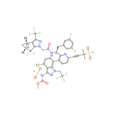 COC(=O)N(c1nn(CC(F)(F)F)c2c(-c3ccc(C#CC(C)(C)S(C)(=O)=O)nc3[C@H](Cc3cc(F)cc(F)c3)NC(=O)Cn3nc(C(F)(F)F)c4c3C(F)(F)[C@@H]3C[C@H]43)ccc(Cl)c12)S(C)(=O)=O